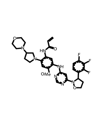 C=CC(=O)Nc1cc(Nc2cc(N3OCCC3c3ccc(F)c(F)c3F)ncn2)c(OC)cc1N1CCC(N2CCOCC2)C1